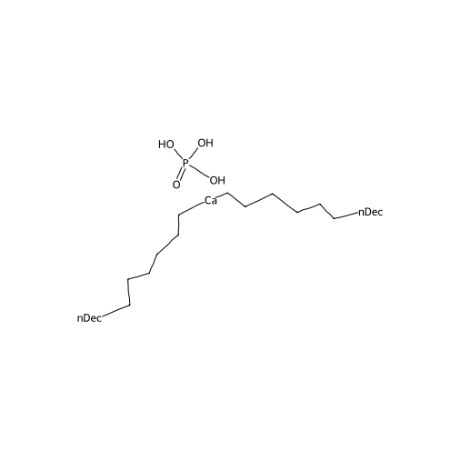 CCCCCCCCCCCCCCC[CH2][Ca][CH2]CCCCCCCCCCCCCCC.O=P(O)(O)O